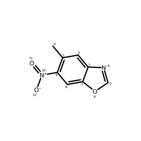 Cc1cc2ncoc2cc1[N+](=O)[O-]